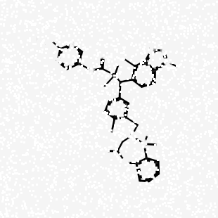 CCC1CN(Cc2cc(C(c3ccc4c(nnn4CC)c3C)C(C)(C)C(=O)Nc3cnc(C(=O)O)nc3)ccc2C)S(O)(O)c2ccccc2O1